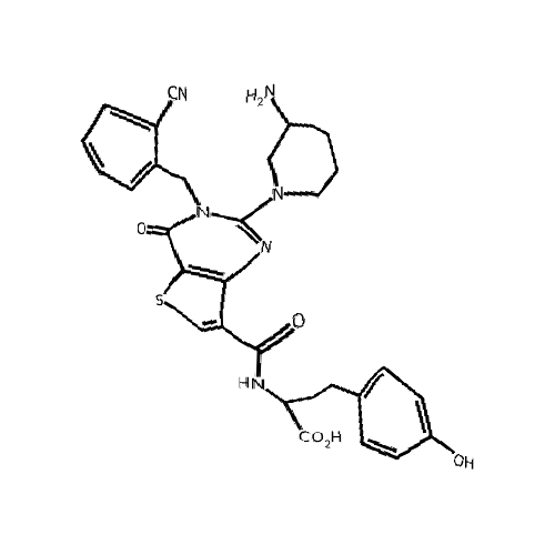 N#Cc1ccccc1Cn1c(N2CCCC(N)C2)nc2c(C(=O)NC(Cc3ccc(O)cc3)C(=O)O)csc2c1=O